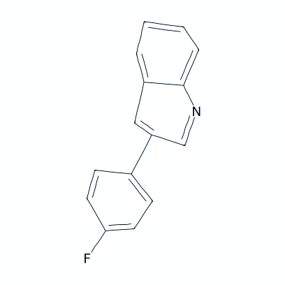 Fc1ccc(-c2cnc3ccccc3c2)cc1